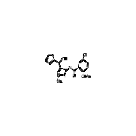 COc1ccc(Cl)cc1C(=O)N=c1sn(C(C)(C)C)cc1C(O)c1cccs1